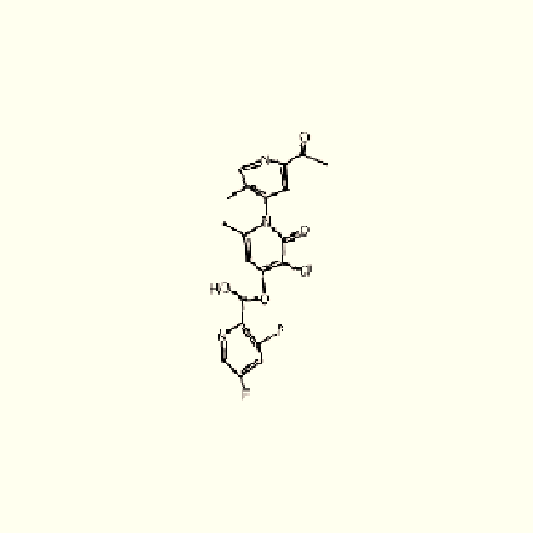 CC(=O)c1cc(-n2c(C)cc(OC(O)c3ncc(F)cc3F)c(Cl)c2=O)c(C)cn1